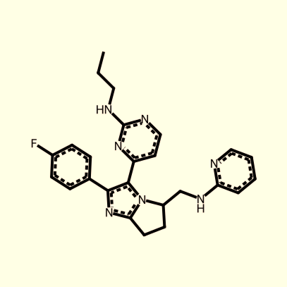 CCCNc1nccc(-c2c(-c3ccc(F)cc3)nc3n2C(CNc2ccccn2)CC3)n1